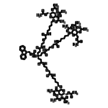 CC(=O)N[C@H]1[C@H](OCCCCCNC(=O)COCCNC(=O)CCC(CCC(=O)NCCOCC(=O)NCCCCCO[C@@H]2O[C@H](COC(C)=O)[C@H](OC(C)=O)[C@H](OC(C)=O)[C@H]2NC(C)=O)(CCC(=O)NCCOCC(=O)NCCCCCO[C@@H]2O[C@H](COC(C)=O)[C@H](OC(C)=O)[C@H](OC(C)=O)[C@H]2NC(C)=O)NC(=O)OCC2c3ccccc3-c3ccccc32)O[C@H](COC(C)=O)[C@H](OC(C)=O)[C@@H]1OC(C)=O